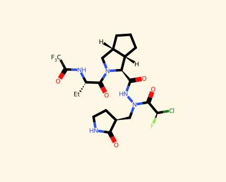 CC[C@H](NC(=O)C(F)(F)F)C(=O)N1C[C@@H]2CCC[C@@H]2[C@H]1C(=O)NN(C[C@@H]1CCNC1=O)C(=O)[C@H](F)Cl